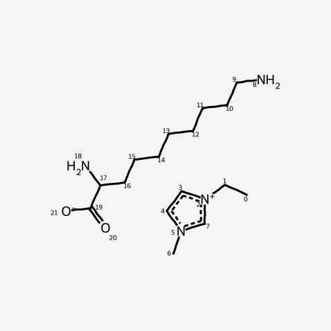 CC[n+]1ccn(C)c1.NCCCCCCCCC(N)C(=O)[O-]